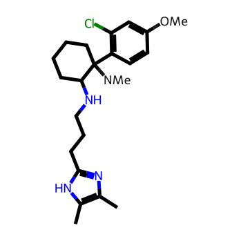 CNC1(c2ccc(OC)cc2Cl)CCCCC1NCCCc1nc(C)c(C)[nH]1